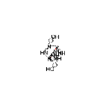 Oc1ccc(CN2CCNCCN3CCNCCNCCN(CCNCCN(Cc4ccc(O)cc4)CC3)CC2)cc1